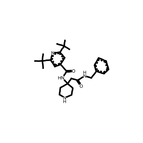 CC(C)(C)c1cc(C(=O)NC2(CC(=O)NCc3ccccc3)CCNCC2)cc(C(C)(C)C)n1